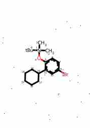 CC(C)(C)[Si](C)(C)Oc1ccc(Br)cc1C1CCCCC1